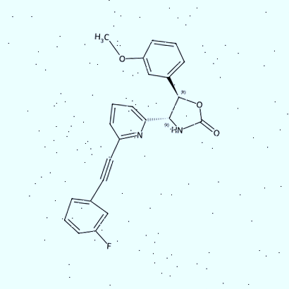 COc1cccc([C@H]2OC(=O)N[C@@H]2c2cccc(C#Cc3cccc(F)c3)n2)c1